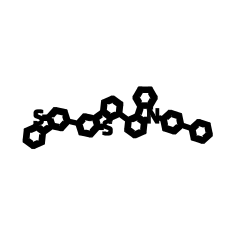 c1ccc(-c2ccc(-n3c4ccccc4c4c(-c5cccc6c5sc5ccc(-c7ccc8sc9ccccc9c8c7)cc56)cccc43)cc2)cc1